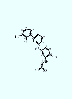 O=[SH](=O)NNc1cc(Oc2cccc(-c3cccc(O)c3F)n2)ccc1F